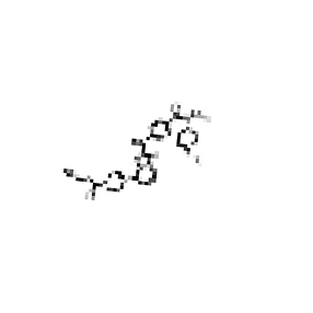 CN1CCC(N(C)C(=O)c2ccc(Nc3nc4c(C5=CCN(C(=O)CCC#N)CC5)cccn4n3)cc2)CC1